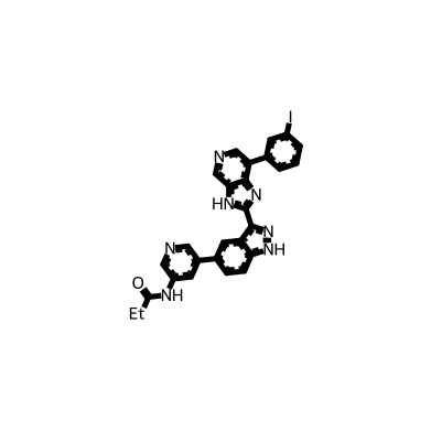 CCC(=O)Nc1cncc(-c2ccc3[nH]nc(-c4nc5c(-c6cccc(I)c6)cncc5[nH]4)c3c2)c1